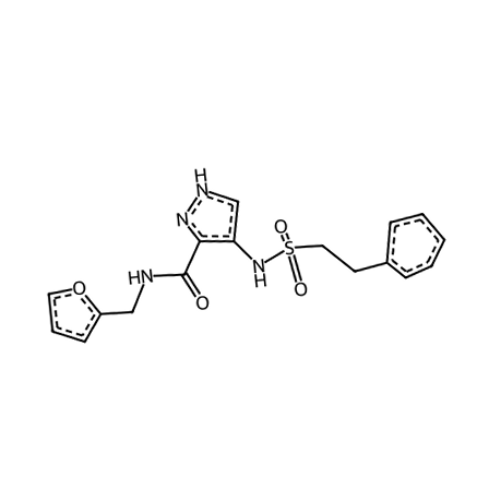 O=C(NCc1ccco1)c1n[nH]cc1NS(=O)(=O)CCc1ccccc1